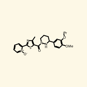 COc1ccc(C2CCCN(C(=O)c3sc(-c4cccc[n+]4[O-])nc3C)N2)cc1OC(C)C